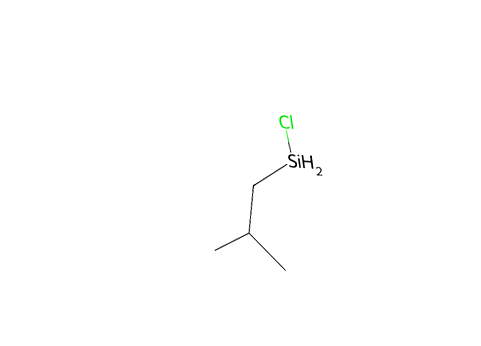 CC(C)C[SiH2]Cl